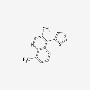 Cc1cnc2c(C(F)(F)F)cccc2c1-c1cccs1